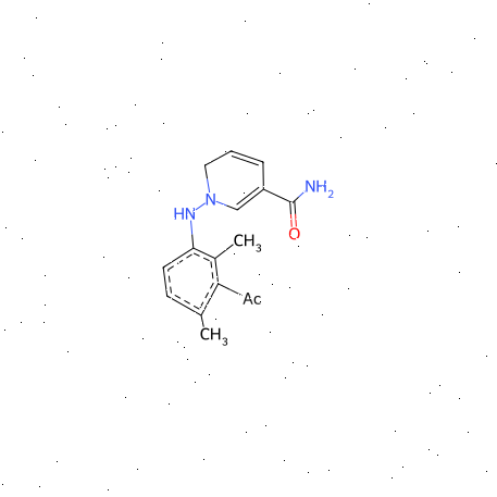 CC(=O)c1c(C)ccc(NN2C=C(C(N)=O)C=CC2)c1C